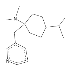 CC(C)C1CCC(Cc2cccnc2)(N(C)C)CC1